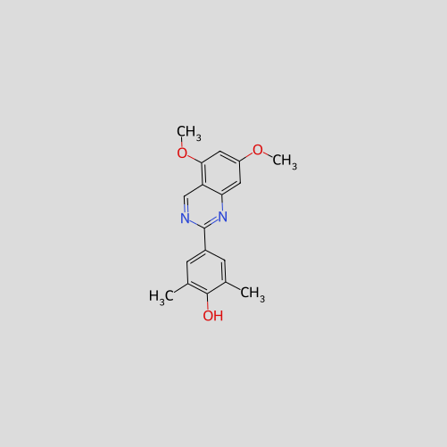 COc1cc(OC)c2cnc(-c3cc(C)c(O)c(C)c3)nc2c1